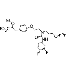 CCCOCCCN(CCOc1ccc(CC(OCC)C(=O)O)cc1)C(=O)Nc1ccc(F)c(F)c1